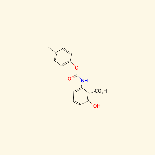 Cc1ccc(OC(=O)Nc2cccc(O)c2C(=O)O)cc1